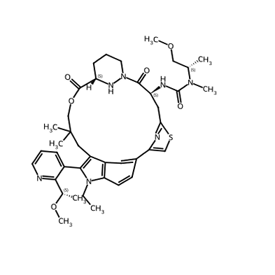 CCn1c(-c2cccnc2[C@H](C)OC)c2c3cc(ccc31)-c1csc(n1)C[C@H](NC(=O)N(C)[C@@H](C)COC)C(=O)N1CCC[C@H](N1)C(=O)OCC(C)(C)C2